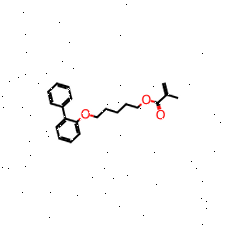 C=C(C)C(=O)OCCCCCOc1ccccc1-c1ccccc1